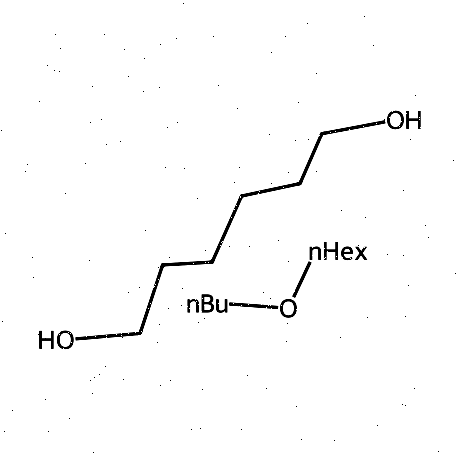 CCCCCCOCCCC.OCCCCCCO